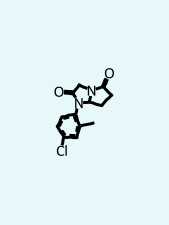 Cc1cc(Cl)ccc1N1C(=O)CN2C(=O)CCC21